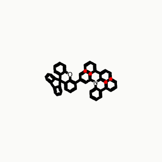 c1ccc(-c2ccccc2N(c2cccc(-c3cccc4c3Oc3ccccc3C43c4ccccc4-c4ccccc43)c2)c2ccccc2-c2ccccc2)cc1